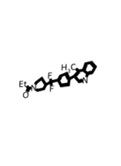 CCC(=O)N1CCC(C(F)(F)c2ccc(-c3cnc4ccccc4c3C)cc2)CC1